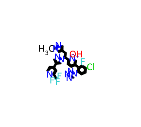 Cn1cc(CC(c2ccc(-c3c(-n4cnnn4)ccc(Cl)c3F)c[n+]2O)n2cc(-c3ccnc(C(F)(F)F)c3)cn2)cn1